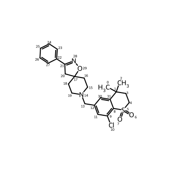 CC1(C)CCS(=O)(=O)c2c(Cl)cc(CN3CCC4(CC3)CC(c3ccccc3)=NO4)cc21